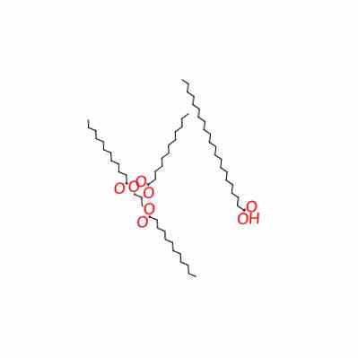 CCCCCCCCCCCC(=O)OCC(COC(=O)CCCCCCCCCCC)OC(=O)CCCCCCCCCCC.CCCCCCCCCCCCCCCCCCCCCC(=O)O